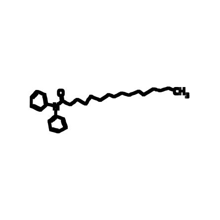 CCCCCCCCCCCCCCCC(=O)N(c1ccccc1)c1ccccc1